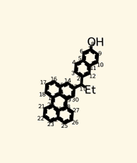 CCC(c1ccc2cc(O)ccc2c1)c1cc2cccc3c4cccc5cccc(c(c1)c23)c54